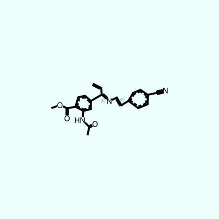 C=C/C(=N\C=C\c1ccc(C#N)cc1)c1ccc(C(=O)OC)c(NC(C)=O)c1